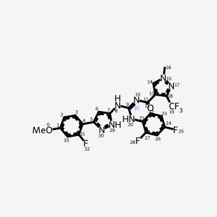 COc1ccc(-c2cc(N/C(=N/C(=O)c3cn(C)nc3C(F)(F)F)Nc3ccc(F)cc3F)[nH]n2)c(F)c1